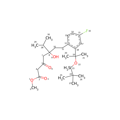 COC(=O)CC(=O)CC(O)(CCc1ccc(F)cc1C(C)(C)O[SiH2]C(C)(C)C)C(C)C